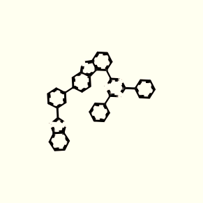 c1ccc(-c2nc(-c3ccccc3)nc(-c3cccc4sc5cc(-c6cccc(-c7nc8ccccc8s7)c6)ccc5c34)n2)cc1